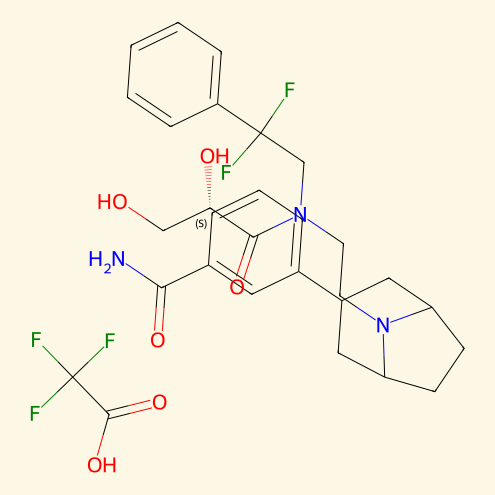 NC(=O)c1cccc(C2CC3CCC(C2)N3CCN(CC(F)(F)c2ccccc2)C(=O)[C@@H](O)CO)c1.O=C(O)C(F)(F)F